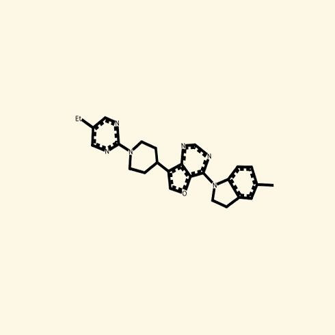 CCc1cnc(N2CCC(c3coc4c(N5CCc6cc(C)ccc65)ncnc34)CC2)nc1